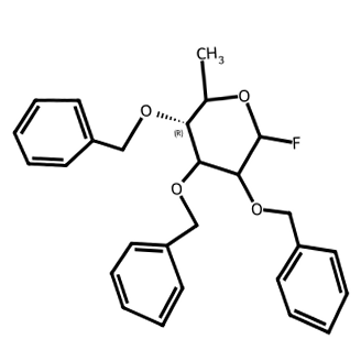 CC1OC(F)C(OCc2ccccc2)C(OCc2ccccc2)[C@@H]1OCc1ccccc1